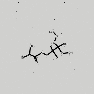 CCCCOOC(OO)(C(C)(C)C)C(C)(C)OOC(=O)C(CC)CCCC